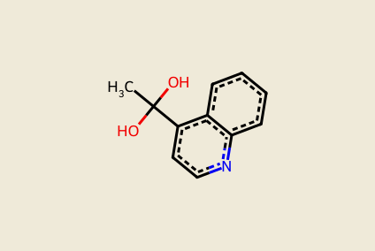 CC(O)(O)c1ccnc2ccccc12